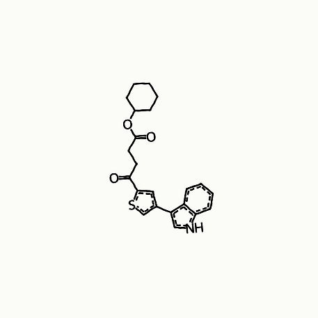 O=C(CCC(=O)c1cc(-c2c[nH]c3ccccc23)cs1)OC1CCCCC1